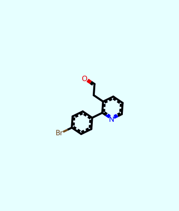 O=CCc1cccnc1-c1ccc(Br)cc1